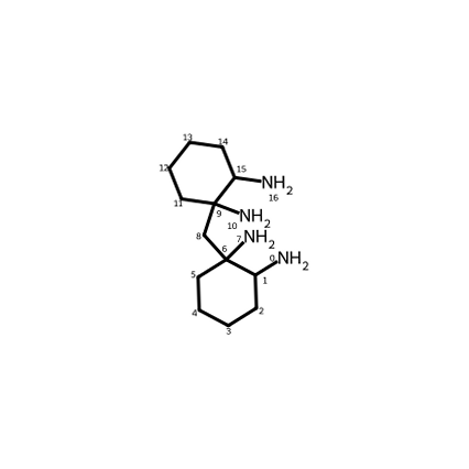 NC1CCCCC1(N)CC1(N)CCCCC1N